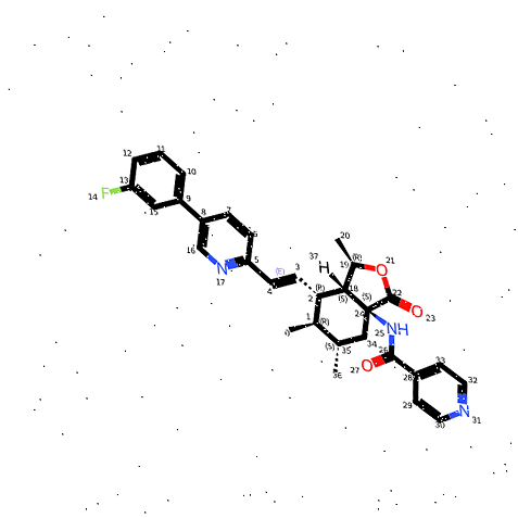 C[C@H]1[C@H](/C=C/c2ccc(-c3cccc(F)c3)cn2)[C@@H]2[C@@H](C)OC(=O)[C@]2(NC(=O)c2ccncc2)C[C@@H]1C